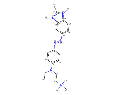 CCN(CC[N+](C)(C)C)c1ccc(N=Nc2ccc3c(c2)[n+](C)c(C)n3C)cc1